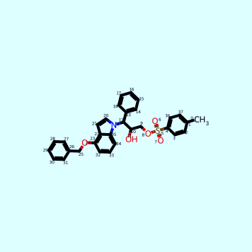 Cc1ccc(S(=O)(=O)OCC(O)C(c2ccccc2)n2ccc3c(OCc4ccccc4)cccc32)cc1